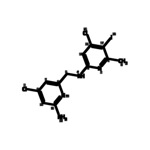 Cc1nc(NCc2cc(Cl)cc(N)n2)cc(Cl)c1I